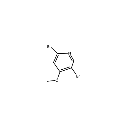 COc1cc(Br)ncc1Br